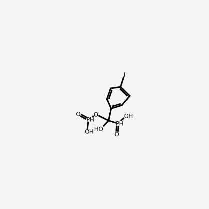 O=[PH](O)OC(O)(c1ccc(I)cc1)[PH](=O)O